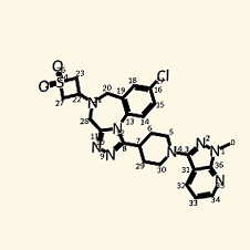 Cn1nc(N2CCC(c3nnc4n3-c3ccc(Cl)cc3CN(C3CS(=O)(=O)C3)C4)CC2)c2cccnc21